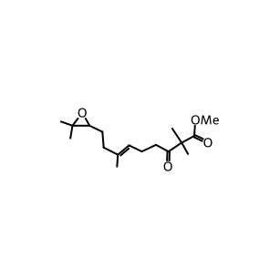 COC(=O)C(C)(C)C(=O)CCC=C(C)CCC1OC1(C)C